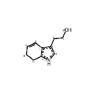 OCCc1c[nH]c2c1C=CCC2